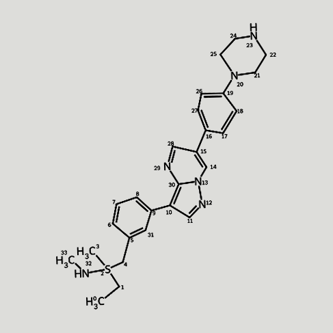 CCS(C)(Cc1cccc(-c2cnn3cc(-c4ccc(N5CCNCC5)cc4)cnc23)c1)NC